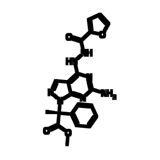 COC(=O)[C@@](C)(c1ccccc1)n1ncc2c(NNC(=O)c3ccco3)nc(N)nc21